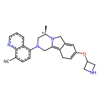 C[C@@H]1CN(c2ccc(C#N)c3ncccc23)CC2=C3CC=C(OC4CNC4)C=C3CN21